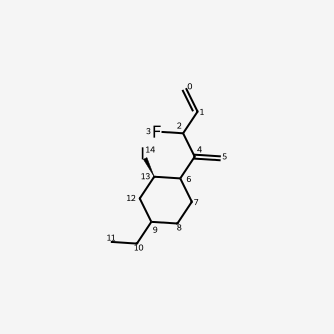 C=CC(F)C(=C)C1CCC(CC)C[C@H]1I